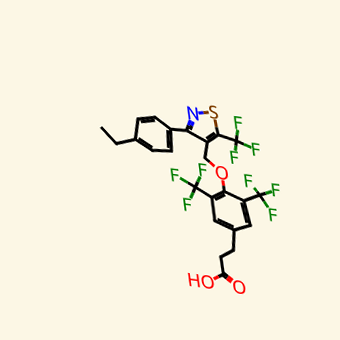 CCc1ccc(-c2nsc(C(F)(F)F)c2COc2c(C(F)(F)F)cc(CCC(=O)O)cc2C(F)(F)F)cc1